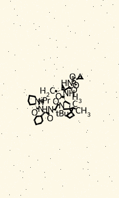 C=C[C@@H]1C[C@]1(NC(=O)[C@@H]1C[C@@]2(CN1C(=O)[C@@H](NC(=O)[C@@H](NC(=O)[C@@H]1CCCCN1C(C)C)C1CCCCC1)C(C)(C)C)C(C)(C)C21CCC1)C(=O)NS(=O)(=O)C1CC1